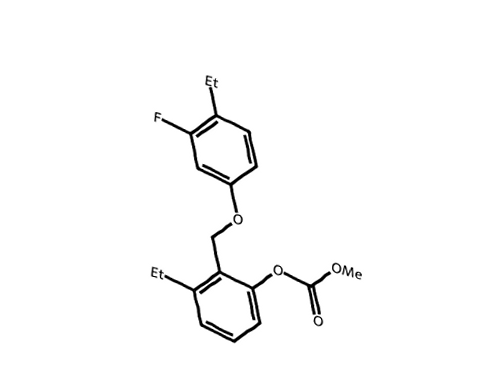 CCc1ccc(OCc2c(CC)cccc2OC(=O)OC)cc1F